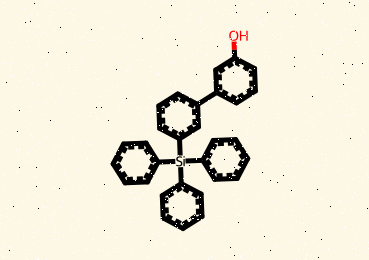 Oc1cccc(-c2cccc([Si](c3ccccc3)(c3ccccc3)c3ccccc3)c2)c1